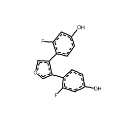 Oc1ccc(-c2cocc2-c2ccc(O)cc2F)c(F)c1